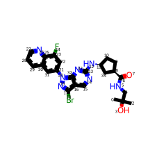 CC(C)(O)CNC(=O)[C@@H]1CC[C@@H](Nc2ncc3c(Br)nn(-c4cc(F)c5ncccc5c4)c3n2)C1